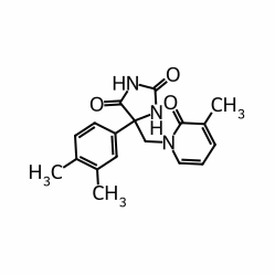 Cc1ccc(C2(Cn3cccc(C)c3=O)NC(=O)NC2=O)cc1C